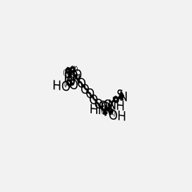 Cc1ncsc1-c1ccc(CNC(=O)[C@@H]2C[C@@H](O)CN2C(=O)[C@@H](NC(=O)COCCOCCOCCOCCOCCNC(=O)O[C@H]2C[C@@H](C)C=C3C=C[C@H](C)[C@H](CC[C@@H]4C[C@@H](O)CC(=O)O4)[C@H]32)C(C)(C)C)cc1